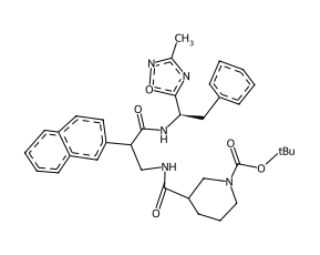 Cc1noc([C@@H](Cc2ccccc2)NC(=O)C(CNC(=O)C2CCCN(C(=O)OC(C)(C)C)C2)c2ccc3ccccc3c2)n1